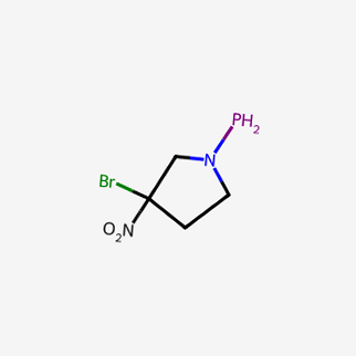 O=[N+]([O-])C1(Br)CCN(P)C1